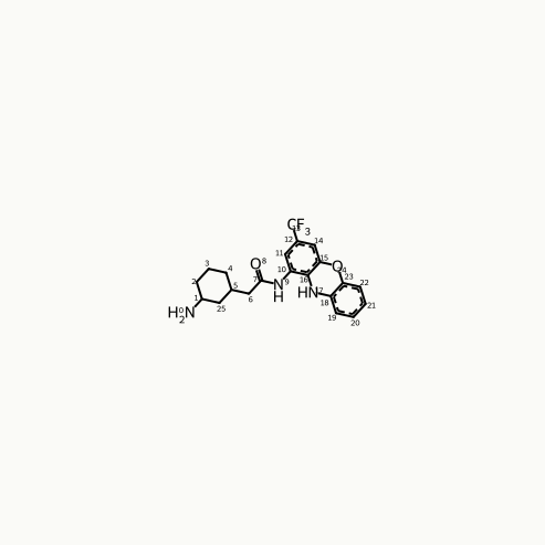 NC1CCCC(CC(=O)Nc2cc(C(F)(F)F)cc3c2Nc2ccccc2O3)C1